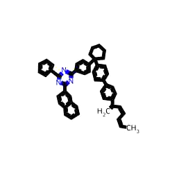 C=C(/C=C\C=C/C)c1ccc(-c2ccc(C3(c4ccc(-c5nc(-c6ccccc6)nc(-c6ccc7ccccc7c6)n5)cc4)CCCCC3)cc2)cc1